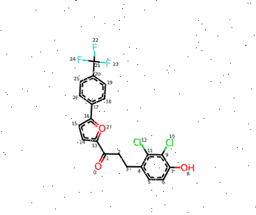 O=C(CCc1ccc(O)c(Cl)c1Cl)c1ccc(-c2ccc(C(F)(F)F)cc2)o1